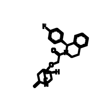 C=C1CC2CCN1C[C@H]2OCC(=O)N1CCc2ccccc2[C@@H]1c1ccc(F)cc1